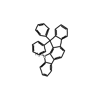 Cn1c2ccccc2c2ccc3c(c21)C(c1ccccc1)(c1ccccc1)c1ccccc1-3